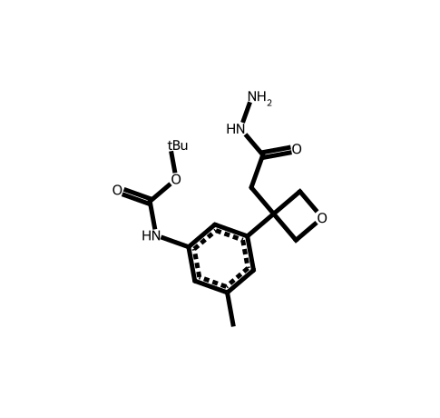 Cc1cc(NC(=O)OC(C)(C)C)cc(C2(CC(=O)NN)COC2)c1